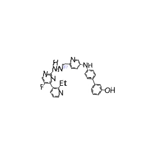 CCc1ncccc1-c1nc(N/N=C/c2ccc(Nc3ccc(-c4cccc(O)c4)cc3)cn2)ncc1F